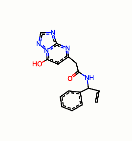 C=CC(NC(=O)Cc1cc(O)n2ncnc2n1)c1ccccc1